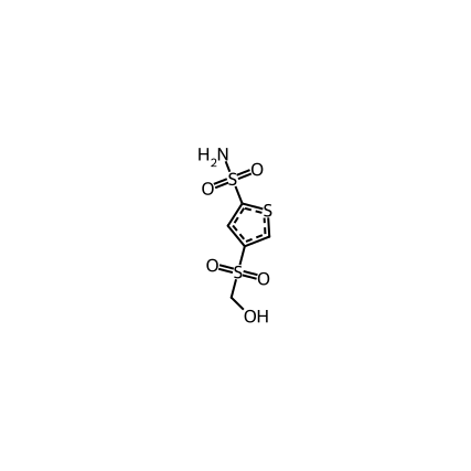 NS(=O)(=O)c1cc(S(=O)(=O)CO)cs1